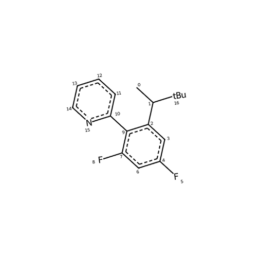 CC(c1cc(F)cc(F)c1-c1ccccn1)C(C)(C)C